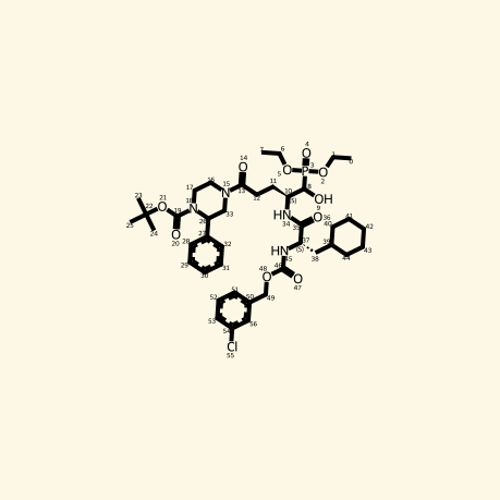 CCOP(=O)(OCC)C(O)[C@H](CCC(=O)N1CCN(C(=O)OC(C)(C)C)C(c2ccccc2)C1)NC(=O)[C@H](CC1CCCCC1)NC(=O)OCc1cccc(Cl)c1